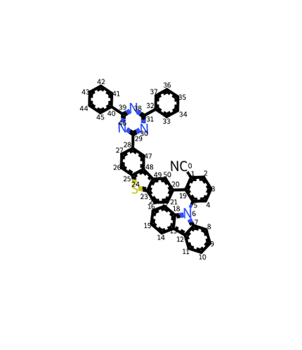 N#Cc1cccc(-n2c3ccccc3c3ccccc32)c1-c1ccc2sc3ccc(-c4nc(-c5ccccc5)nc(-c5ccccc5)n4)cc3c2c1